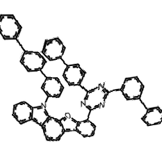 c1ccc(-c2ccc(-c3cccc(-n4c5ccccc5c5ccc6c7cccc(-c8nc(-c9ccc(-c%10ccccc%10)cc9)nc(-c9cccc(-c%10ccccc%10)c9)n8)c7oc6c54)c3)cc2)cc1